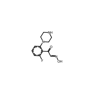 O=C(C=NO)c1c(F)cccc1N1CCNCC1